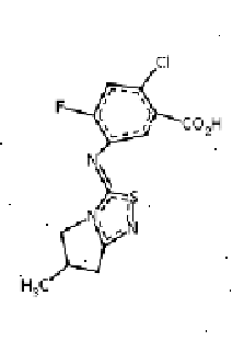 CC1Cc2ns/c(=N\c3cc(C(=O)O)c(Cl)cc3F)n2C1